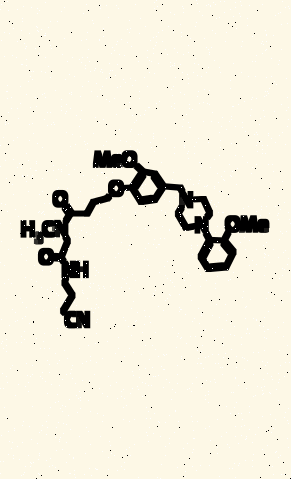 COc1cc(CN2CCN(c3ccccc3OC)CC2)ccc1OCCCC(=O)N(C)CC(=O)NCCCC#N